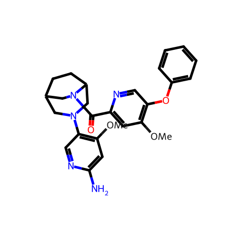 COc1cc(C(=O)N2CC3CCC2CN(c2cnc(N)cc2OC)C3)ncc1Oc1ccccc1